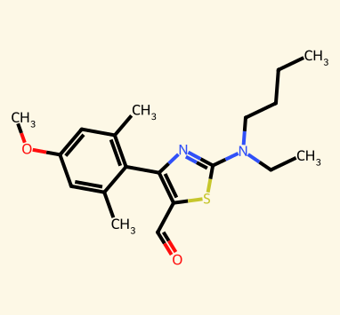 CCCCN(CC)c1nc(-c2c(C)cc(OC)cc2C)c(C=O)s1